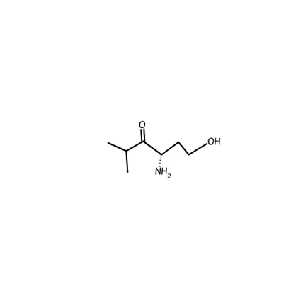 CC(C)C(=O)[C@@H](N)CCO